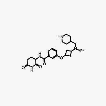 CC(C)N(CC1CCNCC1)C1CC(Oc2cccc(C(=O)NC3CCC(=O)NC3=O)c2)C1